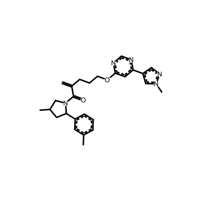 C=C(CCCOc1cc(-c2cnn(C)c2)ncn1)C(=O)N1CC(C)CC1c1cccc(C)c1